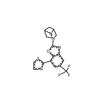 FN1C2CC1CN(c1nc3cc(C(F)(F)F)cc(-c4nccs4)c3o1)C2